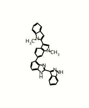 Cn1cc(-c2cc3ccccc3n2C)c2ccc(-c3cccc4[nH]c(-c5n[nH]c6ccccc56)nc34)cc21